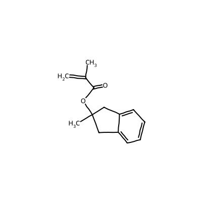 C=C(C)C(=O)OC1(C)Cc2ccccc2C1